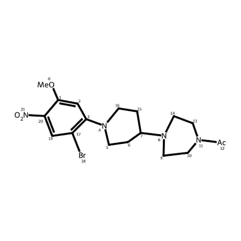 COc1cc(N2CCC(N3CCN(C(C)=O)CC3)CC2)c(Br)cc1[N+](=O)[O-]